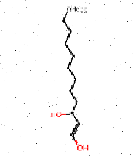 CCCCCCCCCCCCCCCC(O)/C=C/O